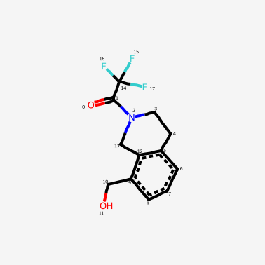 O=C(N1CCc2cccc(CO)c2C1)C(F)(F)F